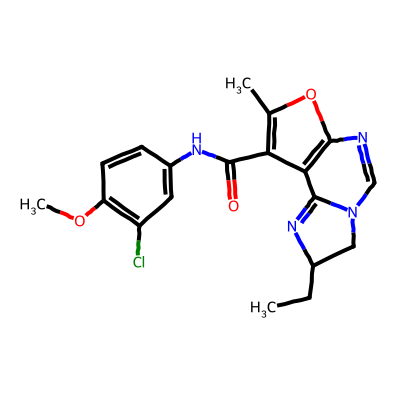 CCC1CN2C=Nc3oc(C)c(C(=O)Nc4ccc(OC)c(Cl)c4)c3C2=N1